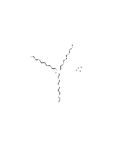 CCCCCCCCCC[N+](C)(CCCCCCCCCC)CCCCCCCCCC.[O-][Cl+3]([O-])([O-])O